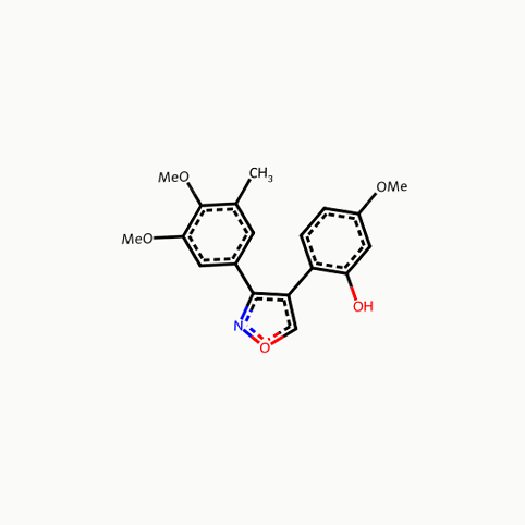 COc1ccc(-c2conc2-c2cc(C)c(OC)c(OC)c2)c(O)c1